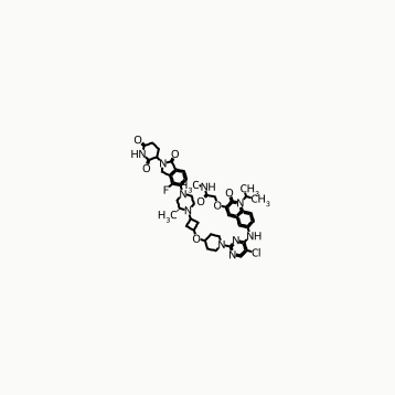 CNC(=O)COc1cc2cc(Nc3nc(N4CCC(OC5CC(N6CCN(c7ccc8c(c7F)CN(C7CCC(=O)NC7=O)C8=O)C[C@H]6C)C5)CC4)ncc3Cl)ccc2n(C(C)C)c1=O